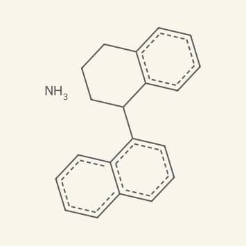 N.c1ccc2c(c1)CCCC2c1cccc2ccccc12